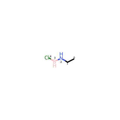 CCNBCl